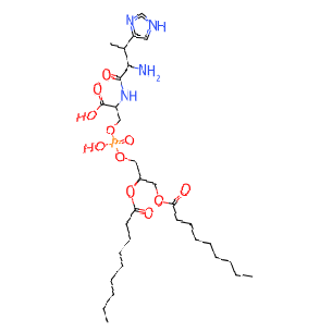 CCCCCCCCC(=O)OCC(COP(=O)(O)OCC(NC(=O)C(N)C(C)c1c[nH]cn1)C(=O)O)OC(=O)CCCCCCCC